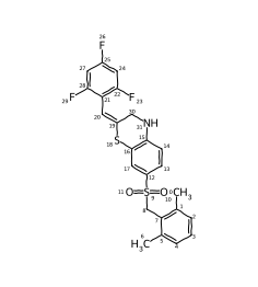 Cc1cccc(C)c1CS(=O)(=O)c1ccc2c(c1)SC(=Cc1c(F)cc(F)cc1F)CN2